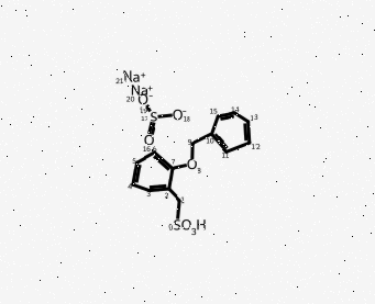 O=S(=O)(O)Cc1ccccc1OCc1ccccc1.O=S([O-])[O-].[Na+].[Na+]